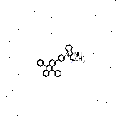 C/C=C\c1c(N)c2ccccc2n1-c1ccc(-c2ccc3c(-c4ccccc4)c4ccccc4c(-c4ccccc4)c3c2)cc1